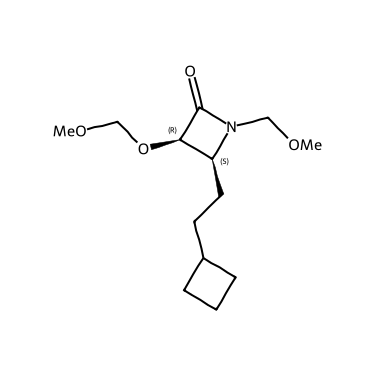 COCO[C@H]1C(=O)N(COC)[C@H]1CCC1CCC1